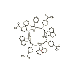 O=C(O)c1ccc(C2=C3N=C(C(c4ccccc4)=C3c3ccccc3)C(c3ccc(C(=O)O)cc3)=c3[nH]c(c(-c4ccccc4)c3-c3ccccc3)=C(c3ccc(C(=O)O)cc3)C3=NC(=C(c4ccc(C(=O)O)cc4)c4[nH]c2c(-c2ccccc2)c4-c2ccccc2)C(c2ccccc2)=C3c2ccccc2)cc1